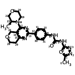 Cc1nnc(NC(=O)Nc2ccc(-c3nc4c(c(N5CCOCC5C)n3)COCC4)cc2)o1